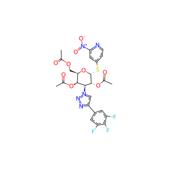 CC(=O)OC[C@H]1O[C@H](Sc2ccnc([N+](=O)[O-])c2)[C@H](OC(C)=O)[C@@H](n2cc(-c3cc(F)c(F)c(F)c3)nn2)[C@H]1OC(C)=O